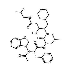 CC(=O)N(C1COc2ccccc21)[C@@H](Cc1ccccc1)C(=O)N[C@@H](CC(C)C)C(=O)NC(CC1CCCCC1)C(O)CC(=O)NCC(C)C